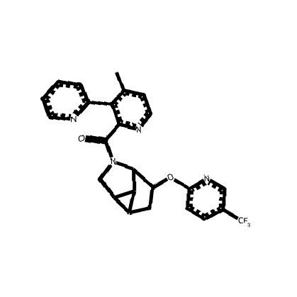 Cc1ccnc(C(=O)N2CC3C4CC(Oc5ccc(C(F)(F)F)cn5)C2C43)c1-c1ccccn1